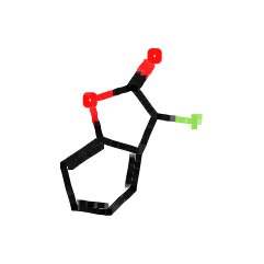 O=C1Oc2ccccc2C1F